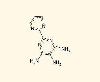 Nc1nc(-c2ncccn2)nc(N)c1N